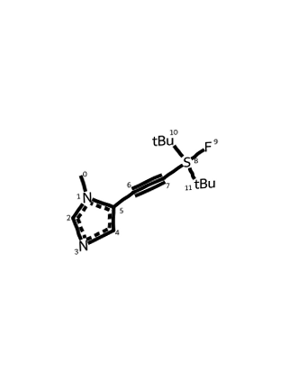 Cn1cncc1C#CS(F)(C(C)(C)C)C(C)(C)C